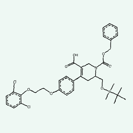 CC(C)(C)[Si](C)(C)OCC1CC(c2ccc(OCCOc3c(Cl)cccc3Cl)cc2)=C(C(=O)O)CN1C(=O)OCc1ccccc1